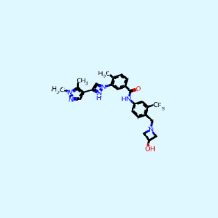 Cc1ccc(C(=O)Nc2ccc(CN3CC(O)C3)c(C(F)(F)F)c2)cc1-n1cc(-c2cnn(C)c2C)[nH]1